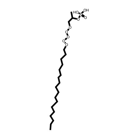 CCCCCCCCCCCCCCCCCCOOOOOCC(C)OP(=O)(O)O